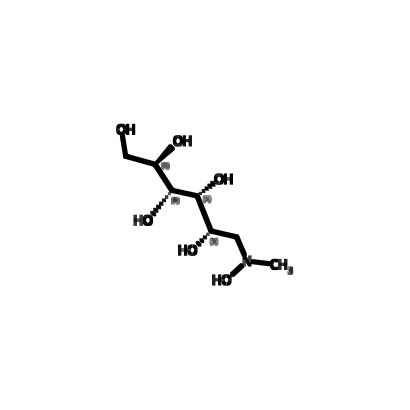 CN(O)C[C@H](O)[C@@H](O)[C@H](O)[C@H](O)CO